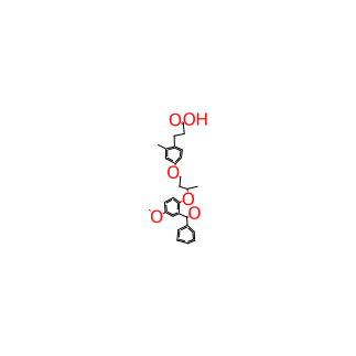 COc1ccc(OC(C)CCOc2ccc(CCC(=O)O)c(C)c2)c(C(=O)c2ccccc2)c1